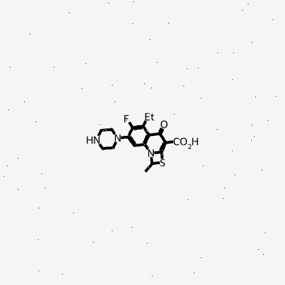 CCc1c(F)c(N2CCNCC2)cc2c1c(=O)c(C(=O)O)c1n2C(C)S1